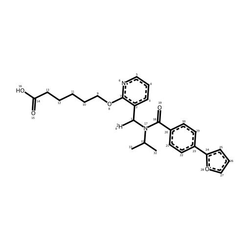 [2H]C(c1cccnc1OCCCCCC(=O)O)N(C(=O)c1ccc(-c2ccco2)cc1)C(C)C